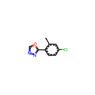 Cc1cc(Cl)ccc1-c1nnco1